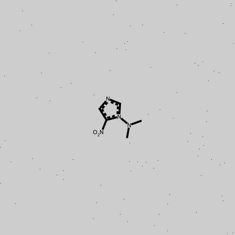 CN(C)n1cncc1[N+](=O)[O-]